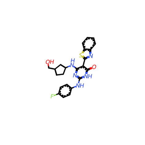 O=c1[nH]c(Nc2ccc(F)cc2)nc(NC2CCC(CO)C2)c1-c1nc2ccccc2s1